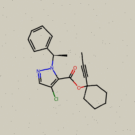 CC#CC1(OC(=O)c2c(Cl)cnn2[C@H](C)c2ccccc2)CCCCC1